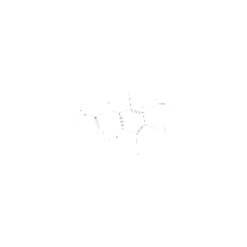 CNC(=O)Oc1c(C)c(CCl)c(Cl)c(Cl)c1Cl